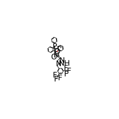 O=C(c1ccccc1P(c1ccccc1)c1ccccc1)[NH+]([O-])CC1=NNN(Cc2cc(C(F)(F)F)cc(C(F)(F)F)c2)C1